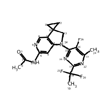 CC(=O)Nc1cc2c(cn1)C1(CC1)CN2c1nc(C(C)(F)F)nc(C)c1F